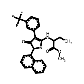 CCC(NC1=C(c2cccc(C(F)(F)F)c2)C(=O)C(c2cccc3ccccc23)S1)C(=O)OC